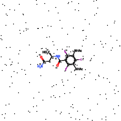 CC(=O)Nc1c(I)c(NC(C)=O)c(I)c(C(=O)N[C@@H](CC(N)=O)C(=O)O)c1I